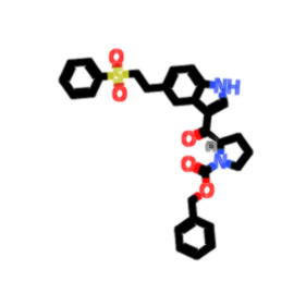 O=C(C1=CNC2=CC=C(CCS(=O)(=O)c3ccccc3)CC21)[C@H]1CCCN1C(=O)OCc1ccccc1